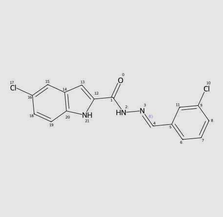 O=C(N/N=C/c1cccc(Cl)c1)c1cc2cc(Cl)ccc2[nH]1